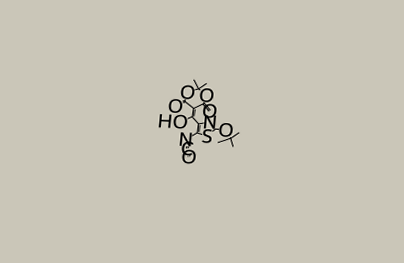 CC(C)(C)Oc1nc(C(O)=C2C(=O)OC(C)(C)OC2=O)c(N=C=O)s1